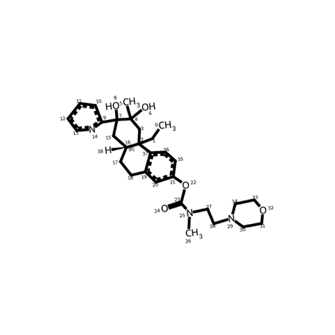 CCC12CC(C)(O)C(O)(c3ccccn3)C[C@H]1CCc1cc(OC(=O)N(C)CCN3CCOCC3)ccc12